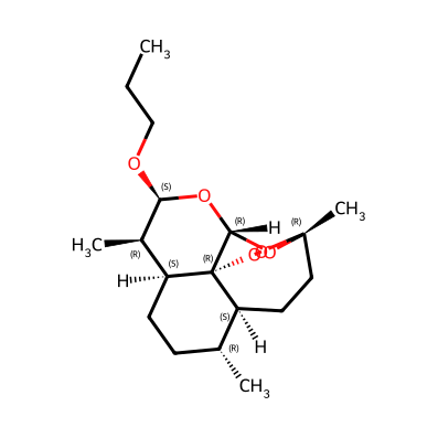 CCCO[C@H]1O[C@@H]2O[C@@]3(C)CC[C@H]4[C@H](C)CC[C@@H]([C@H]1C)[C@@]24OO3